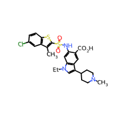 CCn1cc(C2CCN(C)CC2)c2cc(C(=O)O)c(NS(=O)(=O)c3sc4ccc(Cl)cc4c3C)cc21